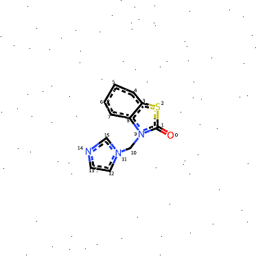 O=c1sc2ccccc2n1Cn1ccnc1